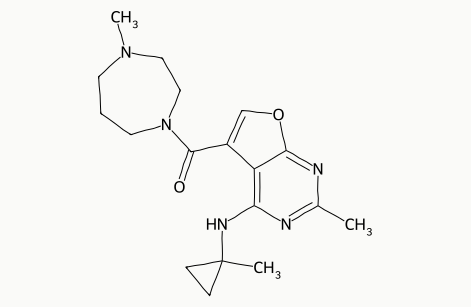 Cc1nc(NC2(C)CC2)c2c(C(=O)N3CCCN(C)CC3)coc2n1